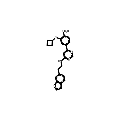 O=C(O)c1ccc(-c2cc(NCCc3ccc4ccsc4c3)ncn2)cc1OC1CCC1